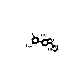 Cl.FC(F)(F)c1cc(-c2ccc3c(C4=NCCN4)occ3c2)cc(C(F)(F)F)c1